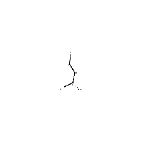 C[C@H](I)CCI